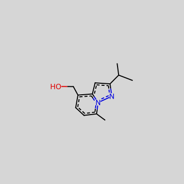 Cc1ccc(CO)c2cc(C(C)C)nn12